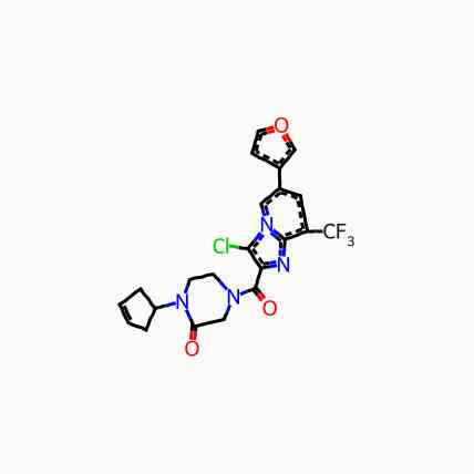 O=C(c1nc2c(C(F)(F)F)cc(-c3ccoc3)cn2c1Cl)N1CCN(C2CC=CC2)C(=O)C1